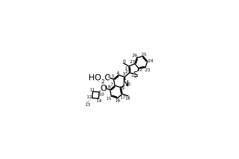 Cc1c(-c2cc(C(=O)O)c3c(O[C@H]4C[C@@H](C)C4)ccc(C)c3n2)sc2ccccc12